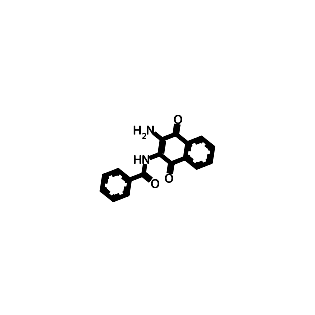 NC1=C(NC(=O)c2ccccc2)C(=O)c2ccccc2C1=O